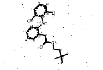 CC(C)(C)CCOC(=O)Cc1ccccc1Nc1c(Cl)cccc1Cl